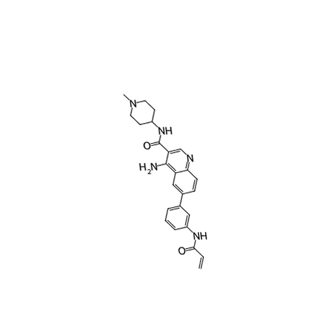 C=CC(=O)Nc1cccc(-c2ccc3ncc(C(=O)NC4CCN(C)CC4)c(N)c3c2)c1